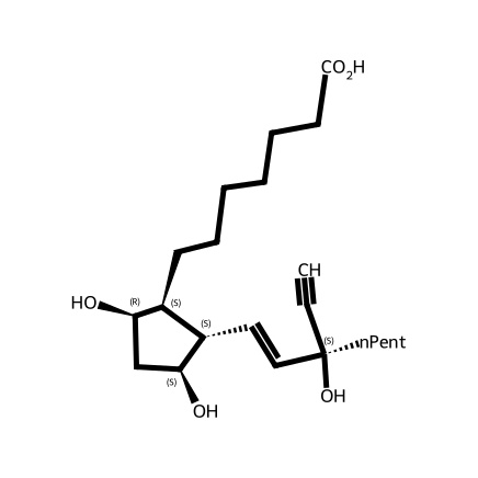 C#C[C@@](O)(C=C[C@H]1[C@H](CCCCCCC(=O)O)[C@H](O)C[C@@H]1O)CCCCC